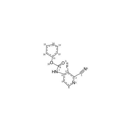 N#Cc1nccc(NC(=O)Oc2ccccc2)c1F